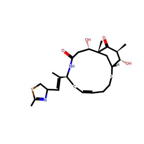 CC1=NC(/C=C(\C)[C@@H]2C/C=C\CCC[C@@H]3C[C@@](C)(C(=O)[C@@H](C)[C@@H]3O)[C@@H](O)CC(=O)N2)CS1